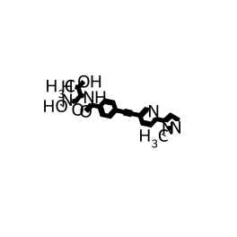 CC(O)C(NC(=O)c1ccc(C#Cc2ccc(-c3ccnn3C)nc2)cc1)C(=O)NO